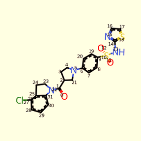 O=C(C1CCN(c2ccc(S(=O)(=O)Nc3nccs3)cc2)C1)N1CCc2c(Cl)cccc21